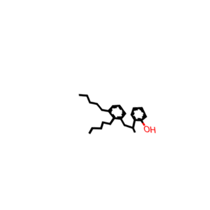 CCCCCc1cccc(CC(C)c2ccccc2O)c1CCCCC